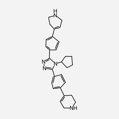 C1=C(c2ccc(-c3nnc(-c4ccc(C5=CCNCC5)cc4)n3C3CCCC3)cc2)CCNC1